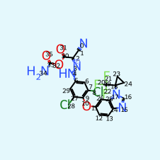 N#C/C(=N/Nc1cc(Cl)c(Oc2ccc3ncn(C4(C(F)(F)F)CC4)c3c2)c(Cl)c1)C(=O)OC(N)=O